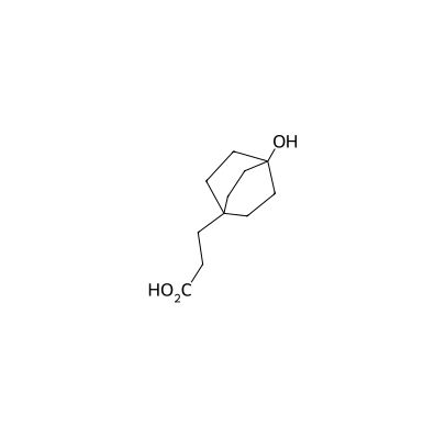 O=C(O)CCC12CCC(O)(CC1)CC2